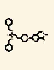 Cn1ncc2cc(N3CCC(CCP(=O)(OCc4ccccc4)OCc4ccccc4)CC3)ncc2c1=O